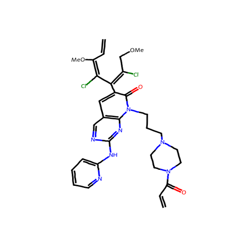 C=CC(=O)N1CCN(CCCn2c(=O)c(C(/C(Cl)=C(\C=C)OC)=C(\Cl)COC)cc3cnc(Nc4ccccn4)nc32)CC1